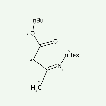 CCCCCC/N=C(/C)CC(=O)OCCCC